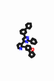 c1ccc(-c2cccc(-c3cc(-c4cccnc4-c4ccc5oc6ccccc6c5c4)nc(-c4ccccc4)n3)c2)cc1